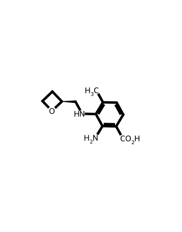 Cc1ccc(C(=O)O)c(N)c1NC[C@@H]1CCO1